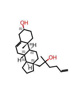 C=CCCC(C)(O)C[C@@]12CCC[C@H]1[C@@H]1CC=C3C[C@@H](O)CC[C@]3(C)[C@H]1CC2